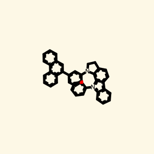 c1ccc(-n2c3ccccc3c3ccc4c(c32)N(c2cccc(-c3cc5ccccc5c5ccccc35)c2)CC4)cc1